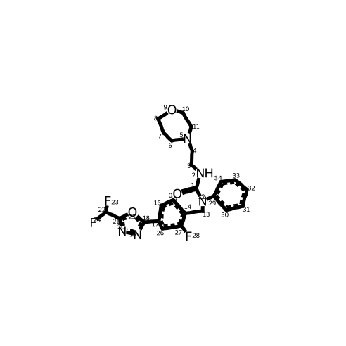 O=C(NCCN1CCCOCC1)N(Cc1ccc(-c2nnc(C(F)F)o2)cc1F)c1ccccc1